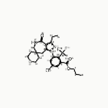 CCCOC(=O)c1cc(Cl)cc(-n2nc(CC)c3c2CC2(CCOCC2)CNC3=O)c1C(F)(F)F